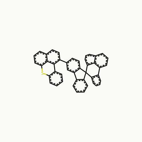 c1ccc2c(c1)Sc1cccc3ccc(-c4ccc5c(c4)-c4ccccc4C54c5ccccc5-c5cccc6cccc4c56)c-2c13